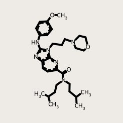 COc1ccc(Nc2nc3ccc(C(=O)N(CCC(C)C)CCC(C)C)nc3n2CCCN2CCOCC2)cc1